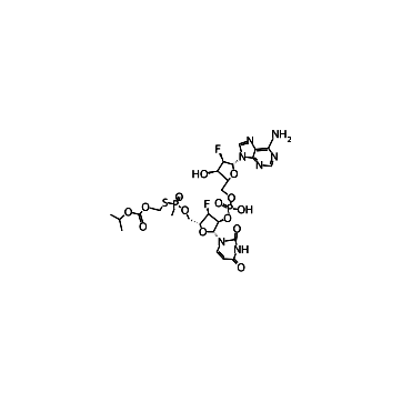 CC(C)OC(=O)OCSP(C)(=O)OC[C@H]1O[C@@H](n2ccc(=O)[nH]c2=O)[C@H](OP(=O)(O)OCC2O[C@@H](n3cnc4c(N)ncnc43)[C@H](F)[C@@H]2O)[C@@H]1F